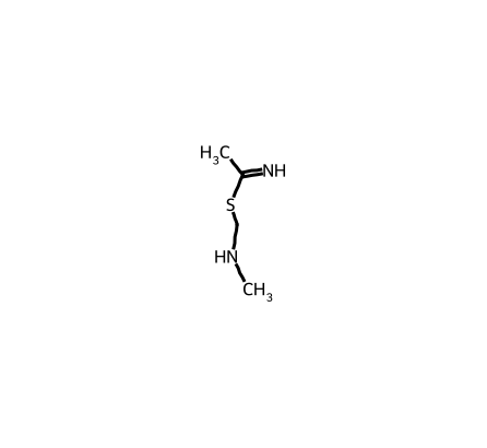 CNCSC(C)=N